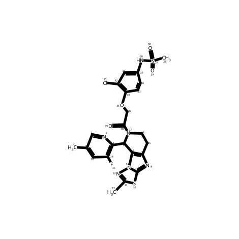 Cc1cnc(C2c3c(nc4sc(C)nn34)CCN2C(=O)COc2ccc(NS(C)(=O)=O)cc2Cl)c(F)c1